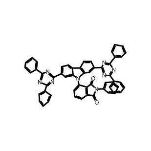 O=C1c2cccc(-n3c4cc(-c5nc(-c6ccccc6)nc(-c6ccccc6)n5)ccc4c4ccc(-c5nc(-c6ccccc6)nc(-c6ccccc6)n5)cc43)c2C(=O)N1c1ccccc1